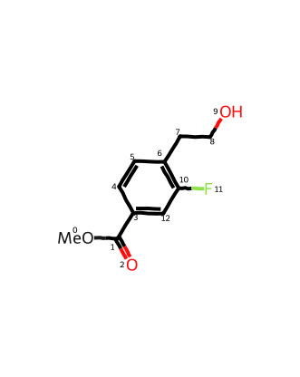 COC(=O)c1ccc(CCO)c(F)c1